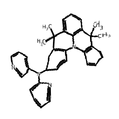 CC1(C)C2=C(C=CCC2)N2C3=C(CC(N(c4cccnc4)c4ccccn4)C=C3)C(C)(C)c3cccc1c32